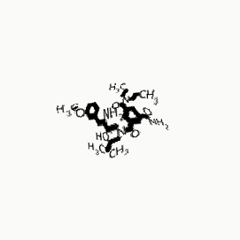 CCCN(CCC)C(=O)c1cc(C(N)=O)cc(C(=O)N(CCC(C)C)C[C@@H](O)[C@@H](N)Cc2cccc(OC)c2)c1